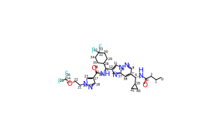 CCCC(=O)N[C@@H](c1cnn2cc([C@@H](NC(=O)c3cnn(CCOC(F)F)c3)C3CCC(F)(F)CC3)nc2c1)C1CC1